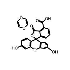 C1=COC=CO1.O=C(O)c1cccc2c1C(=O)OC21c2ccc(O)cc2Oc2cc(O)ccc21